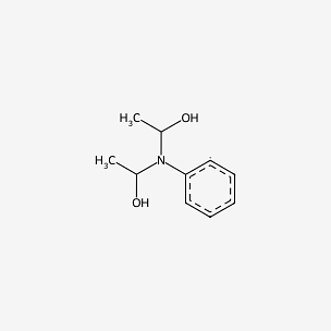 CC(O)N(c1[c]cccc1)C(C)O